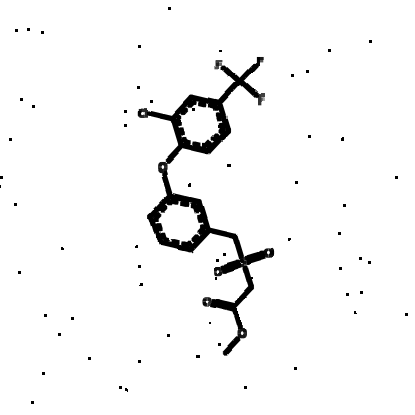 COC(=O)CS(=O)(=O)Cc1cccc(Oc2ccc(C(F)(F)F)cc2Cl)c1